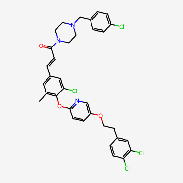 Cc1cc(C=CC(=O)N2CCN(Cc3ccc(Cl)cc3)CC2)cc(Cl)c1Oc1ccc(OCCc2ccc(Cl)c(Cl)c2)cn1